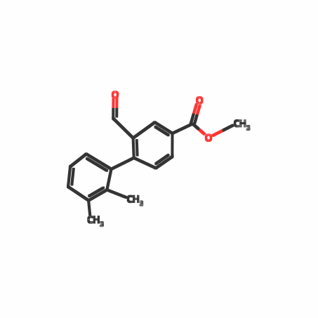 COC(=O)c1ccc(-c2cccc(C)c2C)c(C=O)c1